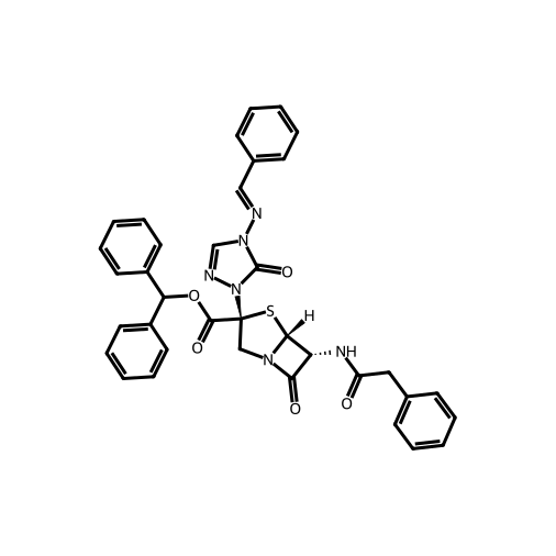 O=C(Cc1ccccc1)N[C@@H]1C(=O)N2C[C@@](C(=O)OC(c3ccccc3)c3ccccc3)(n3ncn(/N=C/c4ccccc4)c3=O)S[C@H]12